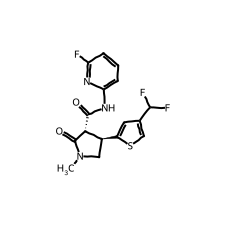 CN1C[C@H](c2cc(C(F)F)cs2)[C@@H](C(=O)Nc2cccc(F)n2)C1=O